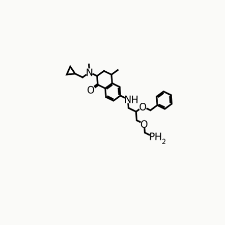 CC1CC(N(C)CC2CC2)C(=O)c2ccc(NCC(COCP)OCc3ccccc3)cc21